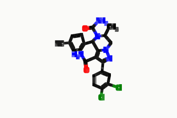 CC1Cn2nc(-c3ccc(Cl)c(Cl)c3)c(C(N)=O)c2C(c2ccc(C#N)cc2)N1C(N)=O